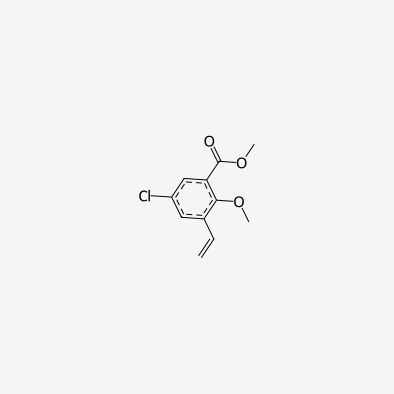 C=Cc1cc(Cl)cc(C(=O)OC)c1OC